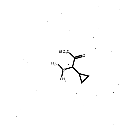 CCOC(=O)C(=O)C(C1CC1)N(C)C